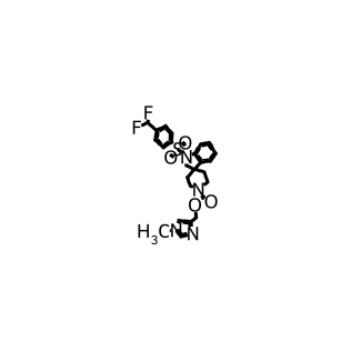 Cn1cnc(COC(=O)N2CCC3(CC2)CN(S(=O)(=O)c2ccc(C(F)F)cc2)c2ccccc23)c1